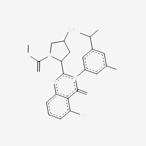 CC(C)(C)OC(=O)N1CC(N)CC1c1nc2cccc(Cl)c2c(=O)n1-c1cc(F)cc(C(F)F)c1